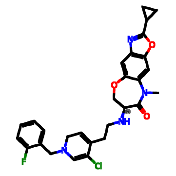 CN1C(=O)[C@@H](NCCC2=CCN(Cc3ccccc3F)C=C2Cl)COc2cc3nc(C4CC4)oc3cc21